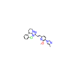 COc1nc(/C=C/c2nc3n(n2)CCC[C@H]3c2ccccc2Cl)ccc1-n1cnc(C)c1